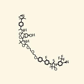 Cc1ncsc1-c1ccc(C(C)NC(=O)[C@@H]2C[C@@H](O)CN2C(=O)C(NC(=O)COCCOCCOc2ccc(-c3ccc(N4C(=S)N(c5ccc(C#N)c(C(F)(F)F)c5)C(=O)C4(C)C)cc3F)cc2)C(C)(C)C)cc1